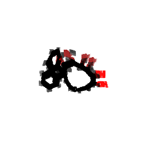 OC1CCCCCC(c2ccccc2)(c2ccccc2)C(Br)C(Br)C(Br)C(Br)C1O